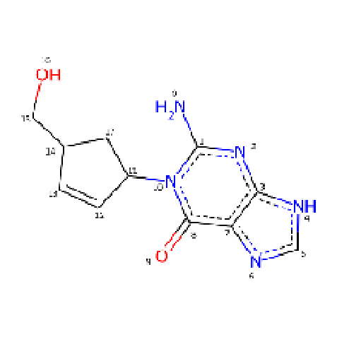 Nc1nc2[nH]cnc2c(=O)n1C1C=CC(CO)C1